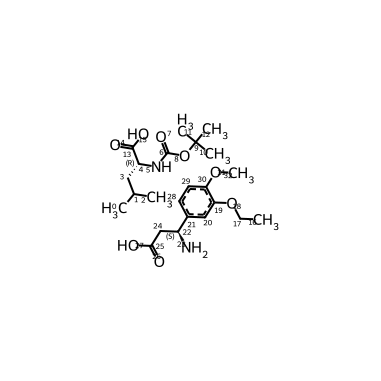 CC(C)C[C@@H](NC(=O)OC(C)(C)C)C(=O)O.CCOc1cc([C@@H](N)CC(=O)O)ccc1OC